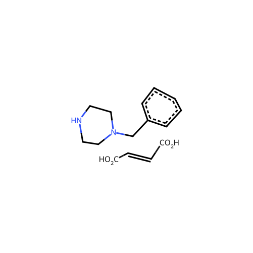 O=C(O)C=CC(=O)O.c1ccc(CN2CCNCC2)cc1